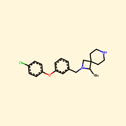 CC(C)(C)C1N(Cc2cccc(Oc3ccc(Cl)cc3)c2)CC12CCNCC2